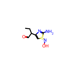 CCC(C=O)C1=CS(=NO)C(N)=N1